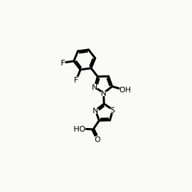 O=C(O)c1csc(-n2nc(-c3cccc(F)c3F)cc2O)n1